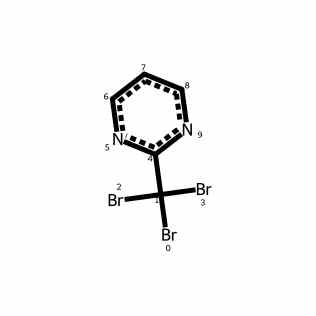 BrC(Br)(Br)c1ncccn1